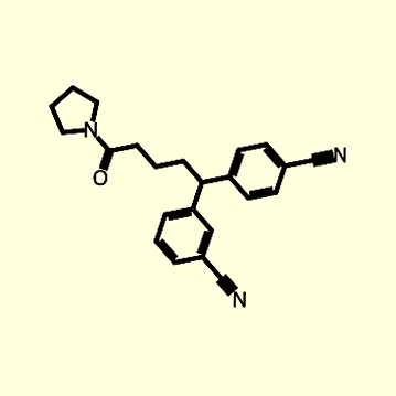 N#Cc1ccc(C(CCCC(=O)N2CCCC2)c2cccc(C#N)c2)cc1